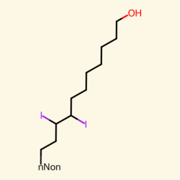 CCCCCCCCCCCC(I)C(I)CCCCCCCO